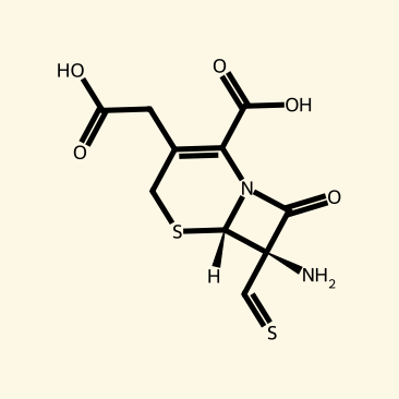 N[C@]1(C=S)C(=O)N2C(C(=O)O)=C(CC(=O)O)CS[C@H]21